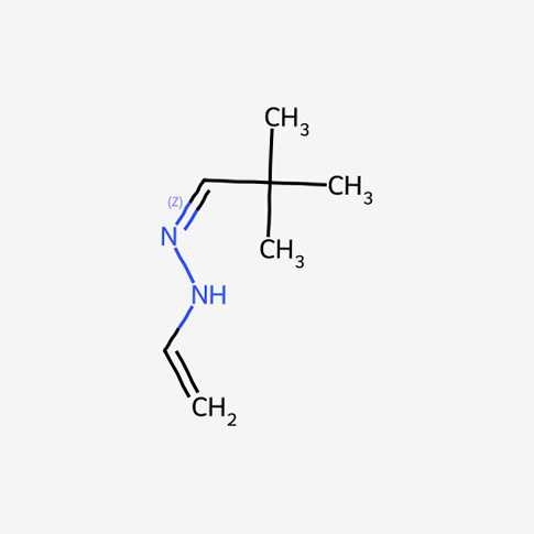 C=CN/N=C\C(C)(C)C